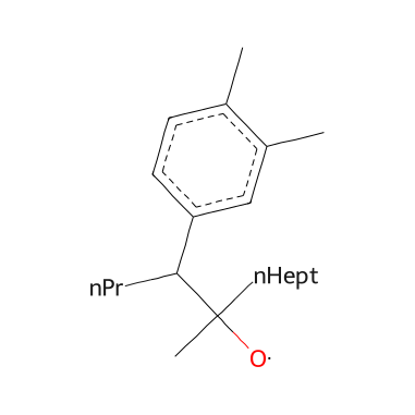 CCCCCCCC(C)([O])C(CCC)c1ccc(C)c(C)c1